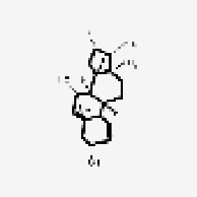 C[C@]12CC[C@H]3[C@@H]([C@@H](O)C=C4C[C@@H](O)C=C[C@@]43C)[C@@H]1C[C@H](F)[C@@H]2N